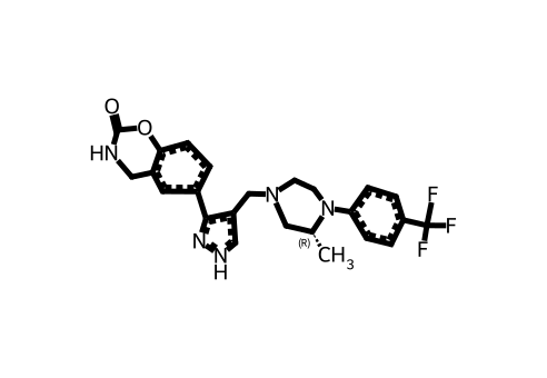 C[C@@H]1CN(Cc2c[nH]nc2-c2ccc3c(c2)CNC(=O)O3)CCN1c1ccc(C(F)(F)F)cc1